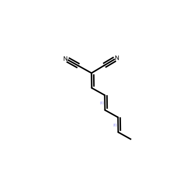 C/C=C/C=C/C=C(C#N)C#N